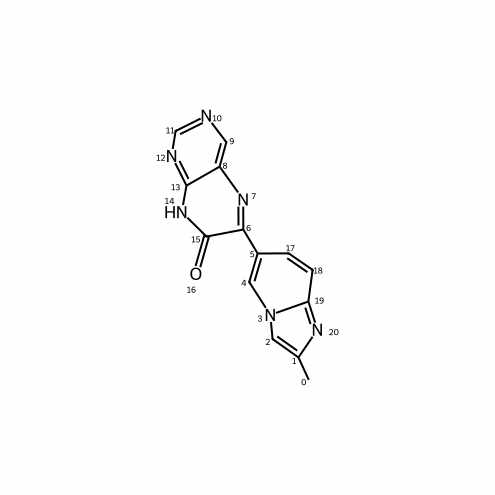 Cc1cn2cc(-c3nc4cncnc4[nH]c3=O)ccc2n1